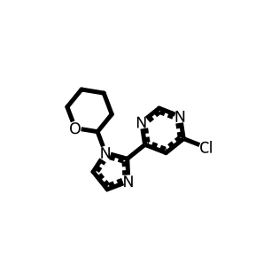 Clc1cc(-c2nccn2C2CCCCO2)ncn1